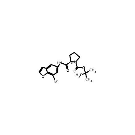 CC(C)(C)OC(=O)N1CCC[C@@H]1C(=O)Nc1cc(Br)c2occc2c1